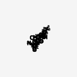 CC(C)(C)c1ccc(S(=O)(=O)Nc2ccc(Cl)c3c2C(=O)N(Cc2cc(C#N)c[n+]([O-])c2)C3=O)cc1